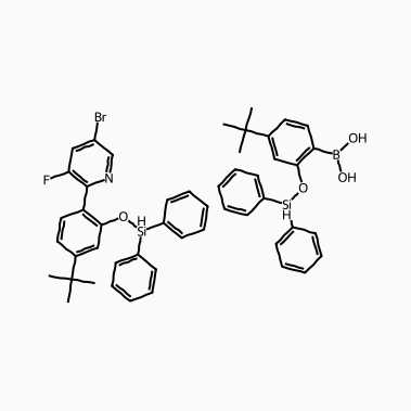 CC(C)(C)c1ccc(-c2ncc(Br)cc2F)c(O[SiH](c2ccccc2)c2ccccc2)c1.CC(C)(C)c1ccc(B(O)O)c(O[SiH](c2ccccc2)c2ccccc2)c1